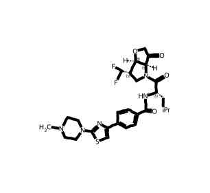 CC(C)C[C@H](NC(=O)c1ccc(-c2csc(N3CCN(C)CC3)n2)cc1)C(=O)N1C[C@H](C(F)F)[C@H]2OCC(=O)[C@H]21